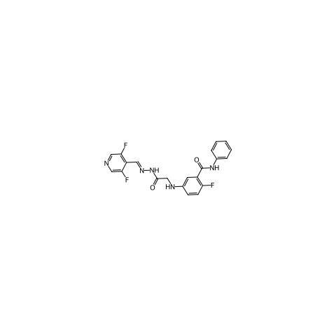 O=C(CNc1ccc(F)c(C(=O)Nc2ccccc2)c1)NN=Cc1c(F)cncc1F